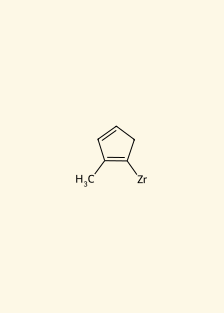 CC1=[C]([Zr])CC=C1